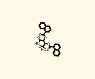 O=C(OC(C(=O)O)C(OC(=O)c1cccc2ccccc12)C(=O)O)c1cccc2ccccc12